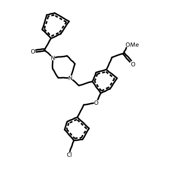 COC(=O)Cc1ccc(OCc2ccc(Cl)cc2)c(CN2CCN(C(=O)c3ccccc3)CC2)c1